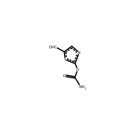 NC(=O)Oc1ncc(C=O)s1